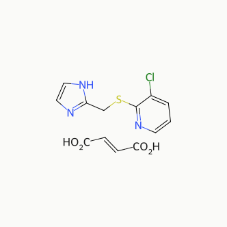 Clc1cccnc1SCc1ncc[nH]1.O=C(O)C=CC(=O)O